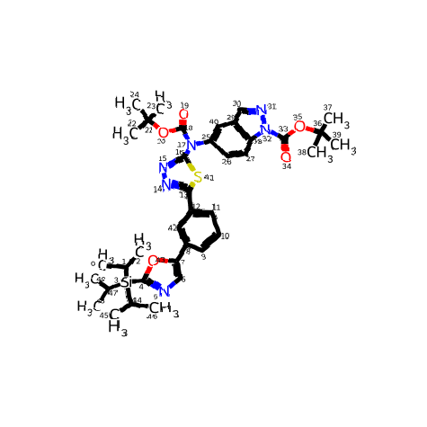 CC(C)[Si](c1ncc(-c2cccc(-c3nnc(N(C(=O)OC(C)(C)C)c4ccc5c(cnn5C(=O)OC(C)(C)C)c4)s3)c2)o1)(C(C)C)C(C)C